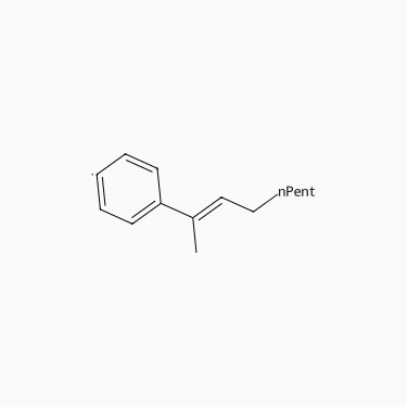 CCCCCCC=C(C)c1cc[c]cc1